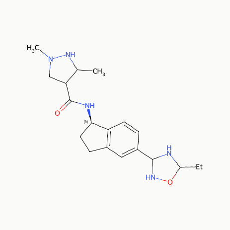 CCC1NC(c2ccc3c(c2)CC[C@H]3NC(=O)C2CN(C)NC2C)NO1